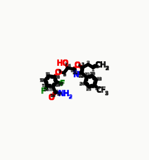 C=CCc1oc(C(O)COc2ccc(F)c(C(N)=O)c2F)nc1-c1ccc(C(F)(F)F)cc1